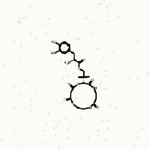 CC(C)(COC(=O)[C@@H](N)Cc1ccc(O)c(O)c1)[C@H]1OC(=O)CC(=O)SCCNC(=O)CCNC1=O